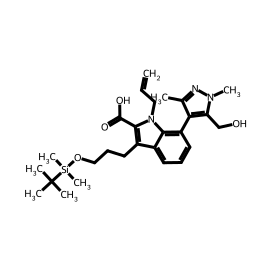 C=CCn1c(C(=O)O)c(CCCO[Si](C)(C)C(C)(C)C)c2cccc(-c3c(C)nn(C)c3CO)c21